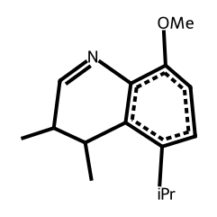 COc1ccc(C(C)C)c2c1N=CC(C)C2C